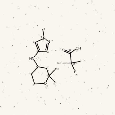 Cn1cc(NC2CCOC(C)(C)C2)cn1.O=C(O)C(F)(F)F